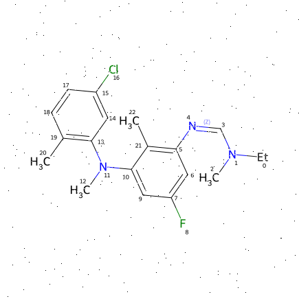 CCN(C)/C=N\c1cc(F)cc(N(C)c2cc(Cl)ccc2C)c1C